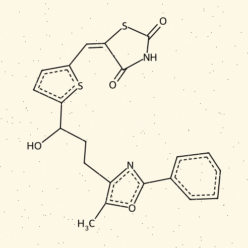 Cc1oc(-c2ccccc2)nc1CCC(O)c1ccc(C=C2SC(=O)NC2=O)s1